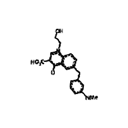 CNc1cccc(Cc2ccc3c(c2)c(=O)c(C(=O)O)cn3CCO)c1